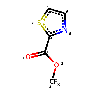 O=C(OC(F)(F)F)c1nccs1